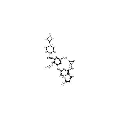 Cl.N#Cc1cc(Nc2nc(NC3CC3)c3ncc(C#N)n3n2)c(Cl)c(NC2CCN(C3COC3)CC2)c1